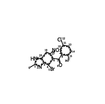 Cc1nc2c(Br)c(C(=O)c3cc(Cl)ccc3F)c([N+](=O)[O-])cc2[nH]1